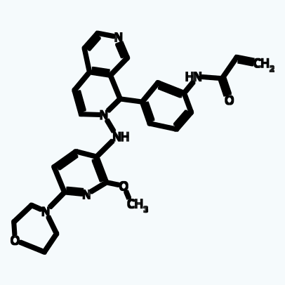 C=CC(=O)Nc1cccc(C2c3cnccc3C=CN2Nc2ccc(N3CCOCC3)nc2OC)c1